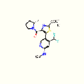 C[C@H]1CCCN1C(=O)c1nc(C(=O)[O-])sc1-c1cnc(NC(C)(C)C)cc1C(F)F.[K+]